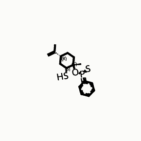 C=C(C)[C@@H]1CC[C@](C)(O[PH](=S)c2ccccc2)[C@@H](S)C1